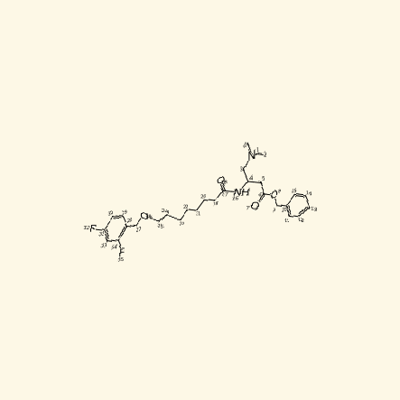 CN(C)CC(CC(=O)OCc1ccccc1)NC(=O)CCCCCCCOCc1ccc(F)cc1F